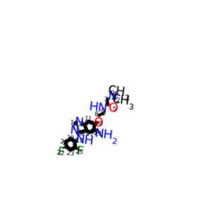 CN(C)CC(=O)NCCOc1cc2ncnc(Nc3ccc(F)cc3F)c2cc1N